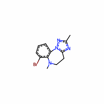 Cc1nc2n(n1)-c1cccc(Br)c1N(C)CC2